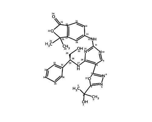 CC(C)(O)c1nnc(-c2cnc(Nc3ccc4c(c3)C(C)(C)OC4=O)nc2N[C@H](CO)c2ccccc2)o1